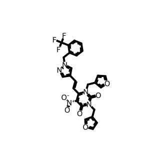 O=c1c([N+](=O)[O-])c(/C=C/c2cnn(Cc3ccccc3C(F)(F)F)c2)n(Cc2ccoc2)c(=O)n1Cc1ccoc1